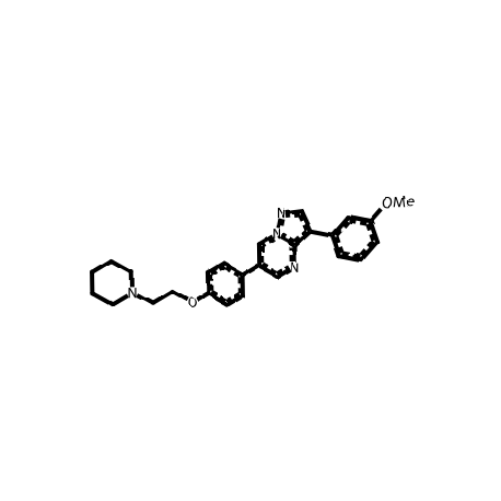 COc1cccc(-c2cnn3cc(-c4ccc(OCCN5CCCCC5)cc4)cnc23)c1